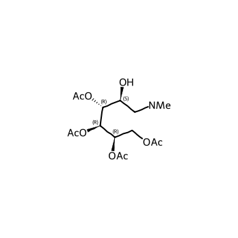 CNC[C@H](O)[C@@H](OC(C)=O)[C@H](OC(C)=O)[C@@H](COC(C)=O)OC(C)=O